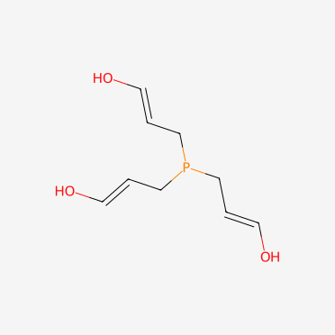 OC=CCP(CC=CO)CC=CO